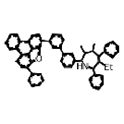 CCC1C(c2ccccc2)NC(c2cccc(-c3cccc(-c4ccc5c6ccccc6c6ccc(-c7ccccc7)c7oc4c5c76)c3)c2)C(C)C(C)C1c1ccccc1